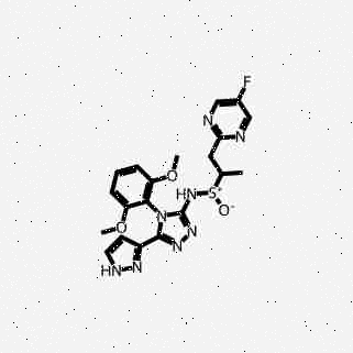 COc1cccc(OC)c1-n1c(N[S+]([O-])C(C)Cc2ncc(F)cn2)nnc1-c1cc[nH]n1